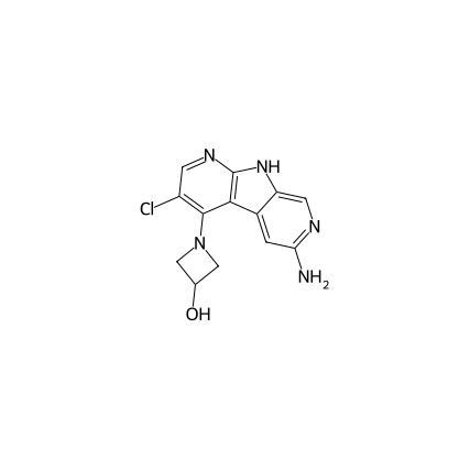 Nc1cc2c(cn1)[nH]c1ncc(Cl)c(N3CC(O)C3)c12